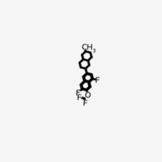 CC1CCC2CC(c3cc(F)c4cc(OC(F)F)c(F)cc4c3)CCC2C1